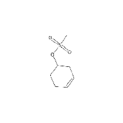 CS(=O)(=O)OC1CC=CCC1